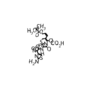 CN(C)C(=O)OC/C=C\C1=C(OC(=O)O)N2C(=O)C(NC(=O)/C(=N\O)c3csc(N)n3)[C@@H]2SC1